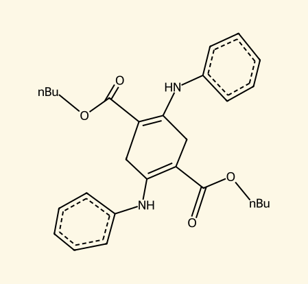 CCCCOC(=O)C1=C(Nc2ccccc2)CC(C(=O)OCCCC)=C(Nc2ccccc2)C1